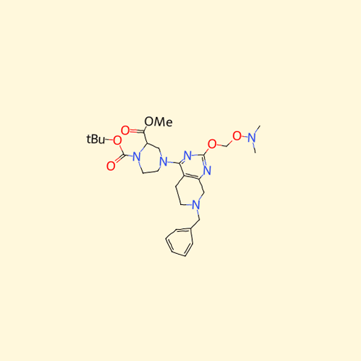 COC(=O)C1CN(c2nc(OCON(C)C)nc3c2CCN(Cc2ccccc2)C3)CCN1C(=O)OC(C)(C)C